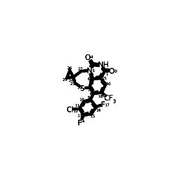 O=c1[nH]c(=O)n2c3c(c(-c4cc(Cl)c(F)cc4F)c(C(F)(F)F)cc13)SCC1(CC1)C2